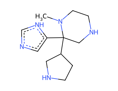 CN1CCNCC1(c1cnc[nH]1)C1CCNC1